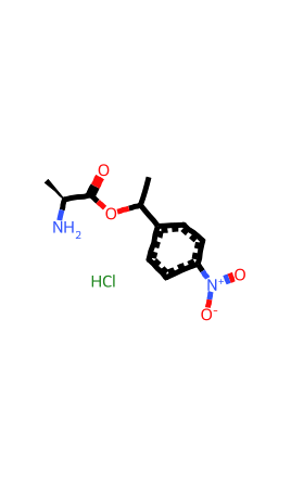 CC(OC(=O)[C@H](C)N)c1ccc([N+](=O)[O-])cc1.Cl